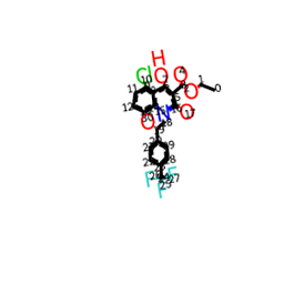 CCOC(=O)c1c(O)c2c(Cl)ccc3c2n(c1=O)CC(c1ccc(C(F)(F)F)cc1)O3